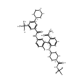 Cc1ccc(NC(=O)c2cc(N3CCOCC3)cc(C(F)(F)F)c2)cc1-c1c(OC2CCN(C(=O)OC(C)(C)C)CC2)cccc1C(N)=O